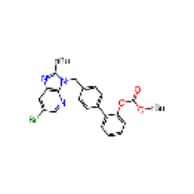 CCCCc1nc2cc(Br)cnc2n1Cc1ccc(-c2ccccc2OC(=O)OC(C)(C)C)cc1